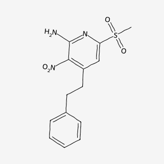 CS(=O)(=O)c1cc(CCc2ccccc2)c([N+](=O)[O-])c(N)n1